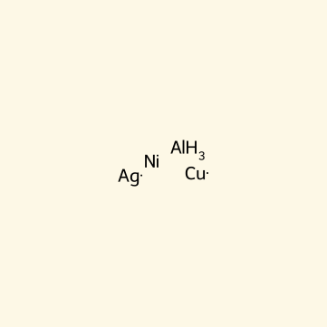 [Ag].[AlH3].[Cu].[Ni]